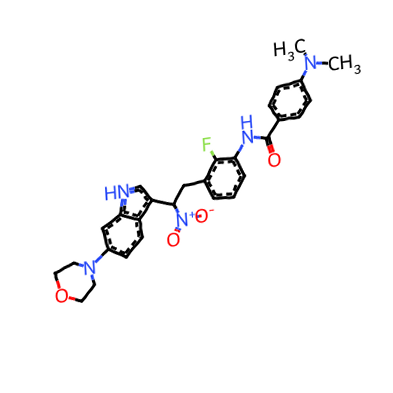 CN(C)c1ccc(C(=O)Nc2cccc(CC(c3c[nH]c4cc(N5CCOCC5)ccc34)[N+](=O)[O-])c2F)cc1